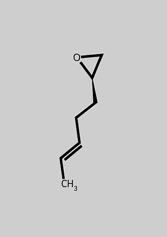 C/C=C/CC[C@@H]1CO1